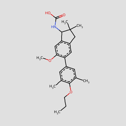 CCCOc1c(C)cc(-c2cc3c(cc2OC)C(NC(=O)O)C(C)(C)C3)cc1C